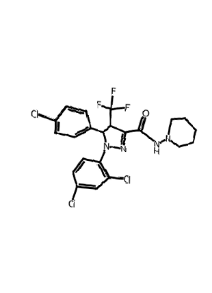 O=C(NN1CCCCC1)C1=NN(c2ccc(Cl)cc2Cl)C(c2ccc(Cl)cc2)C1C(F)(F)F